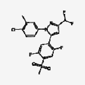 Cc1cc(-n2nc(C(F)F)cc2-c2cc(F)c(S(C)(=O)=O)cc2F)ccc1Cl